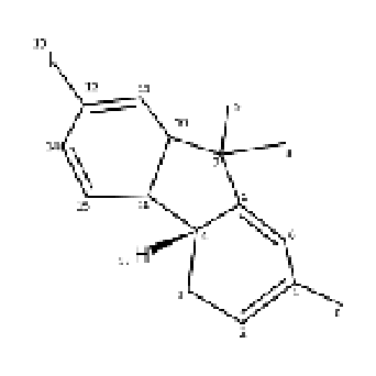 CC1=CC[C@H]2C(=C1)C(C)(C)C1C=C(I)C=CC12